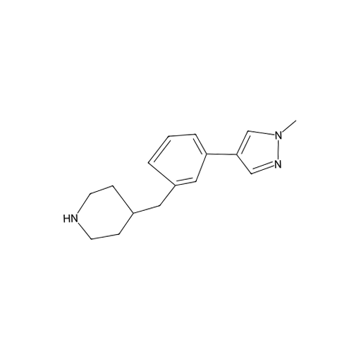 Cn1cc(-c2cccc(CC3CCNCC3)c2)cn1